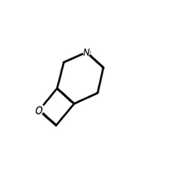 C1CC2COC2C[N]1